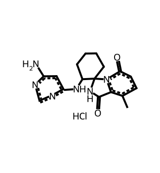 Cc1ccc(=O)n2c1C(=O)NC21CCCCC1Nc1cc(N)ncn1.Cl